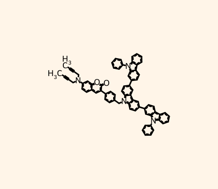 CC#CCN(CC#CC)c1ccc2cc(-c3ccc(Cn4c5ccc(-c6ccc7c8ccccc8n(-c8ccccc8)c7c6)cc5c5cc(-c6ccc7c8ccccc8n(-c8ccccc8)c7c6)ccc54)cc3)c(=O)oc2c1